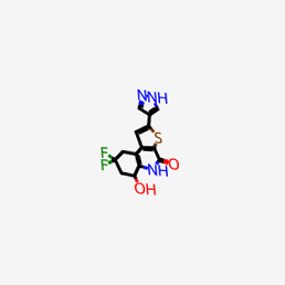 O=c1[nH]c2c(c3cc(-c4cn[nH]c4)sc13)CC(F)(F)CC2O